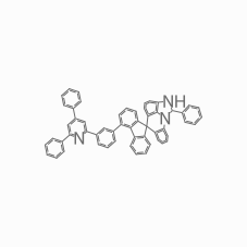 c1ccc(-c2cc(-c3ccccc3)nc(-c3cccc(-c4cccc5c4-c4ccccc4C54c5ccccc5N5c6c(cccc64)NC5c4ccccc4)c3)c2)cc1